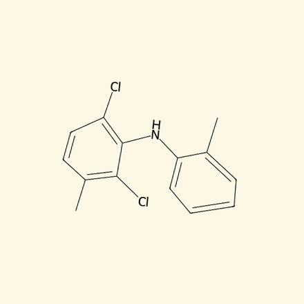 Cc1ccccc1Nc1c(Cl)ccc(C)c1Cl